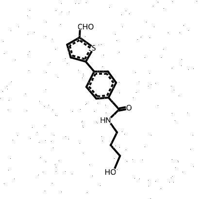 O=Cc1ccc(-c2ccc(C(=O)NCCCO)cc2)s1